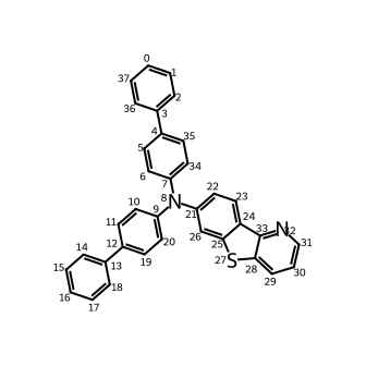 c1ccc(-c2ccc(N(c3ccc(-c4ccccc4)cc3)c3ccc4c(c3)sc3cccnc34)cc2)cc1